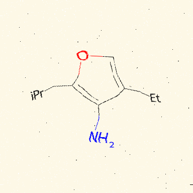 CCc1coc(C(C)C)c1N